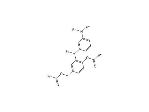 CCC(c1cccc(N(C(C)C)C(C)C)c1)c1cc(COC(=O)C(C)C)ccc1OC(=O)C(C)C